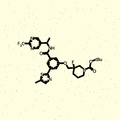 Cc1cnc(-c2cc(OCC3(F)CCCN(C(=O)OC(C)(C)C)C3)cc(C(=O)NC(C)c3cnc(C(F)(F)F)nc3)c2)s1